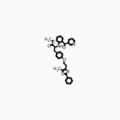 COC(=O)C(Cc1ccc(OCCc2nc(-c3ccccc3)oc2C)cc1)Nc1ccccc1C(=O)c1cccnc1